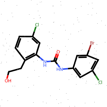 O=C(Nc1cc(Cl)cc(Br)c1)Nc1cc(Cl)ccc1CCO